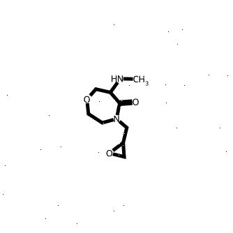 CNC1COCCN(CC2CO2)C1=O